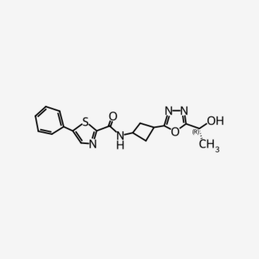 C[C@@H](O)c1nnc(C2CC(NC(=O)c3ncc(-c4ccccc4)s3)C2)o1